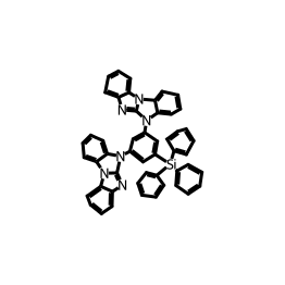 c1ccc([Si](c2ccccc2)(c2ccccc2)c2cc(-n3c4ccccc4n4c5ccccc5nc34)cc(-n3c4ccccc4n4c5ccccc5nc34)c2)cc1